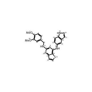 COc1ccc(CNc2nc(Nc3ccc4[nH]ncc4c3)c3sccc3n2)cc1OC